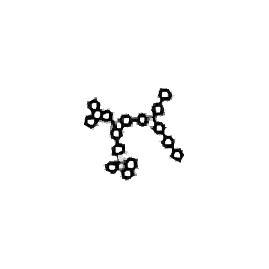 c1ccc(-c2ccc(-c3ccc(N(c4ccc(-c5ccccc5)cc4)c4ccc(-c5ccc6c(c5)c5cc(-c7ccc(N(c8ccccc8)c8cccc9ccccc89)cc7)ccc5n6-c5ccc6c7ccccc7c7ccccc7c6c5)cc4)cc3)cc2)cc1